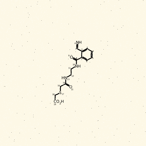 N=Cc1ccccc1C(=O)NCCNC(=O)CSCC(=O)O